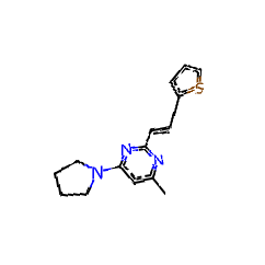 Cc1cc(N2CCCC2)nc(C=Cc2cccs2)n1